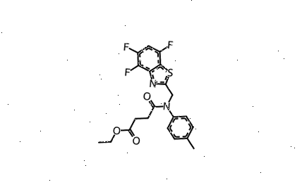 CCOC(=O)CCC(=O)N(Cc1nc2c(F)c(F)cc(F)c2s1)c1ccc(C)cc1